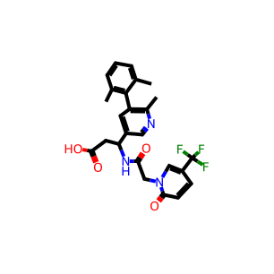 Cc1cccc(C)c1-c1cc(C(CC(=O)O)NC(=O)Cn2cc(C(F)(F)F)ccc2=O)cnc1C